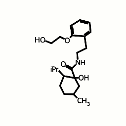 CC1CCC(C(C)C)C(O)(C(=O)NCCc2ccccc2OCCO)C1